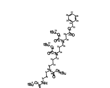 CC(C)(C)OC(=O)NCCCN(CCCCN(CCCN(CCC(=O)OCc1ccccc1)C(=O)OC(C)(C)C)C(=O)OC(C)(C)C)C(=O)OC(C)(C)C